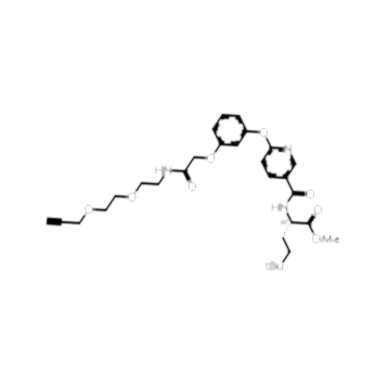 C#CCOCCOCCNC(=O)COc1cccc(Oc2ccc(C(=O)N[C@@H](CCC(C)(C)C)C(=O)OC)cn2)c1